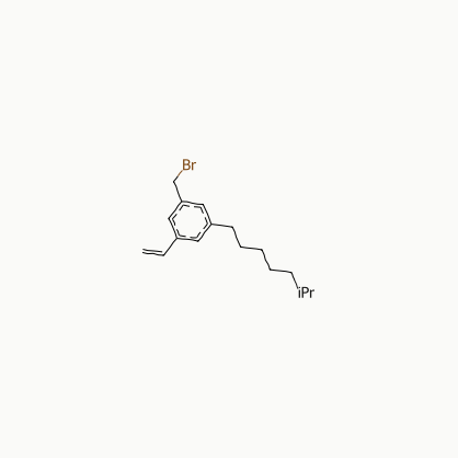 C=Cc1cc(CBr)cc(CCCCCC(C)C)c1